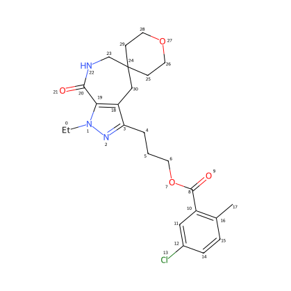 CCn1nc(CCCOC(=O)c2cc(Cl)ccc2C)c2c1C(=O)NCC1(CCOCC1)C2